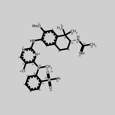 COc1cc2c(cc1Nc1ncc(Cl)c(N(C)c3ccccc3S(=O)(=O)C(C)C)n1)CC[C@@H](NC(C)=N)C2(C)C